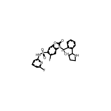 C[C@H](c1ccccc1C1CCCN1)n1c(=O)oc2cc(S(=O)(=O)Nc3cccc(F)n3)c(F)cc21